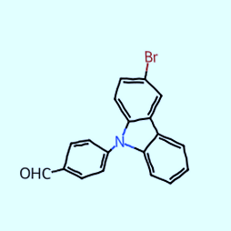 O=Cc1ccc(-n2c3ccccc3c3cc(Br)ccc32)cc1